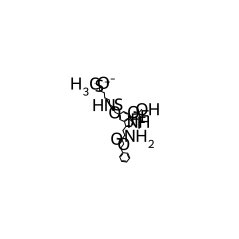 C[S+]([O-])CCCCNC(=S)Oc1ccc2[nH]cc(C[C@H](N)C(=O)OCc3ccccc3)c2c1.O=C(O)C(F)(F)F